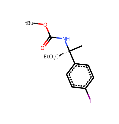 CCOC(=O)[C@@](C)(NC(=O)OC(C)(C)C)c1ccc(I)cc1